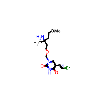 COCCC(C)(N)CCOCn1cc(/C=C/Br)c(=O)[nH]c1=O